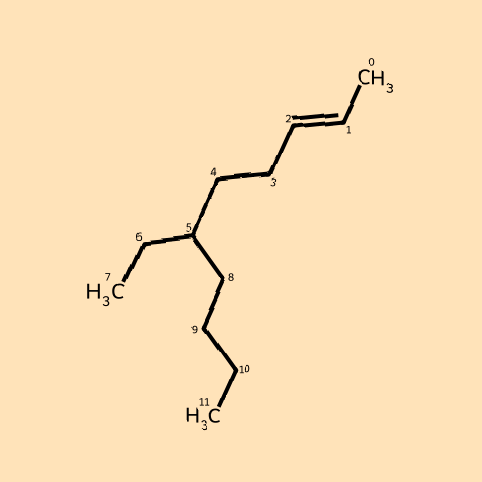 CC=CCCC(CC)CCCC